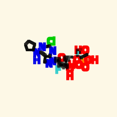 O=P(O)(O)C(F)(CO)OC[C@H]1O[C@@H](n2ncc3c(NC4CCCC4)nc(Cl)nc32)[C@@H](F)[C@@H]1O